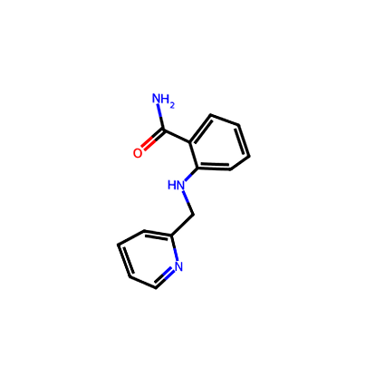 NC(=O)c1ccccc1NCc1ccccn1